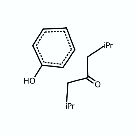 CC(C)CC(=O)CC(C)C.Oc1ccccc1